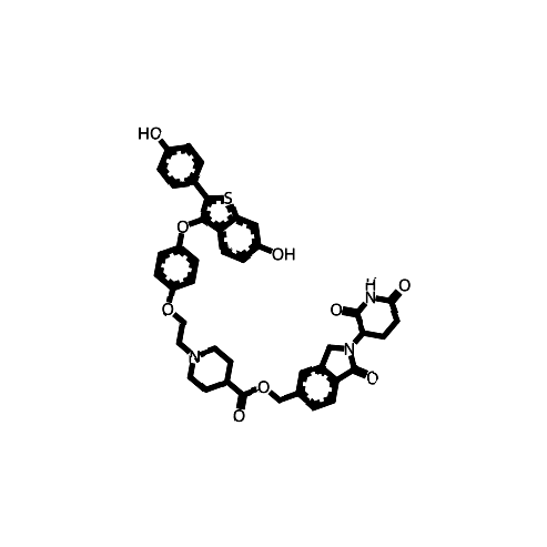 O=C1CCC(N2Cc3cc(COC(=O)C4CCN(CCOc5ccc(Oc6c(-c7ccc(O)cc7)sc7cc(O)ccc67)cc5)CC4)ccc3C2=O)C(=O)N1